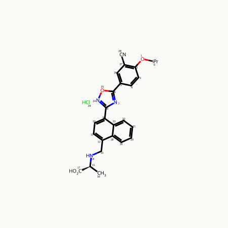 CC(C)Oc1ccc(-c2nc(-c3ccc(CN[C@@H](C)C(=O)O)c4ccccc34)no2)cc1C#N.Cl